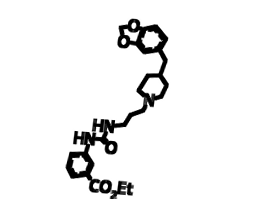 CCOC(=O)c1cccc(NC(=O)NCCCN2CCC(Cc3ccc4c(c3)OCO4)CC2)c1